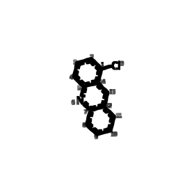 Clc1cccc2nc3ccccc3cc12